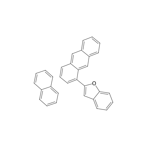 c1ccc2cc3c(-c4cc5ccccc5o4)cccc3cc2c1.c1ccc2ccccc2c1